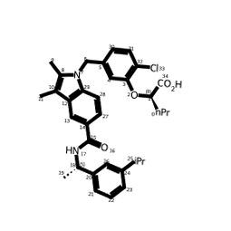 CCC[C@@H](Oc1cc(Cn2c(C)c(C)c3cc(C(=O)N[C@@H](C)c4cccc(C(C)C)c4)ccc32)ccc1Cl)C(=O)O